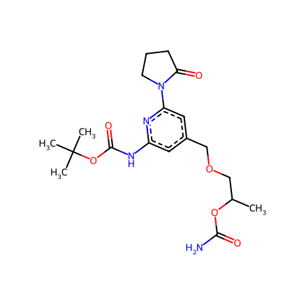 CC(COCc1cc(NC(=O)OC(C)(C)C)nc(N2CCCC2=O)c1)OC(N)=O